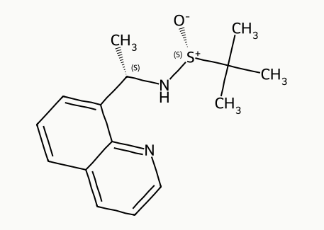 C[C@H](N[S@+]([O-])C(C)(C)C)c1cccc2cccnc12